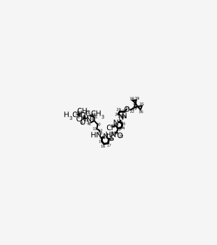 CC(C)(C)OC(=O)N1CC(CCCNc2cccc(SNC(=O)c3ccc(-n4ccc(OCC5C6(CC6)C56CC6)n4)nc3Cl)n2)CC1(C)C